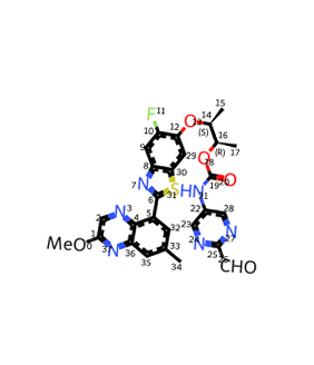 COc1cnc2c(-c3nc4cc(F)c(O[C@@H](C)[C@@H](C)OC(=O)Nc5cnc(C=O)nc5)cc4s3)cc(C)cc2n1